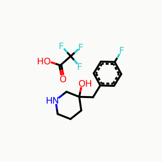 O=C(O)C(F)(F)F.OC1(Cc2ccc(F)cc2)CCCNC1